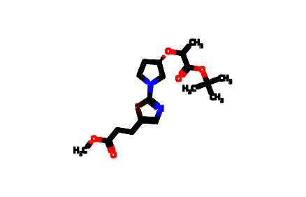 COC(=O)CCc1cnc(N2CC[C@H](OC(C)C(=O)OC(C)(C)C)C2)s1